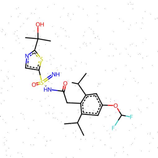 CC(C)c1cc(OC(F)F)cc(C(C)C)c1CC(=O)N[S@](=N)(=O)c1cnc(C(C)(C)O)s1